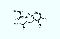 COC(=O)[C@H](Cc1c(F)ccc(Br)c1O)NC(=O)OC(C)(C)C